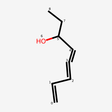 C=CC=C=CC(O)CC